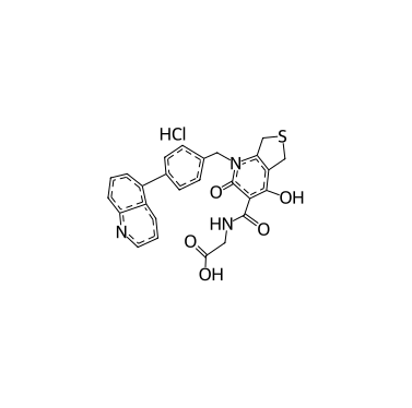 Cl.O=C(O)CNC(=O)c1c(O)c2c(n(Cc3ccc(-c4cccc5ncccc45)cc3)c1=O)CSC2